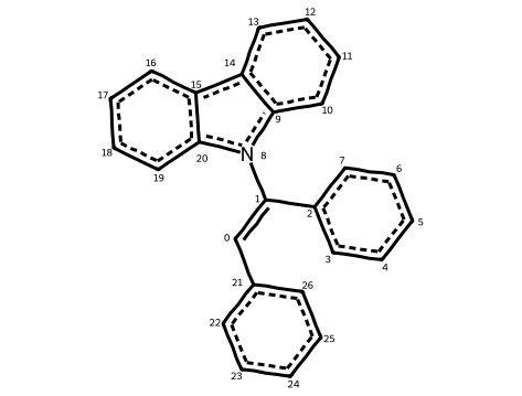 C(=C(/c1ccccc1)n1c2ccccc2c2ccccc21)/c1ccccc1